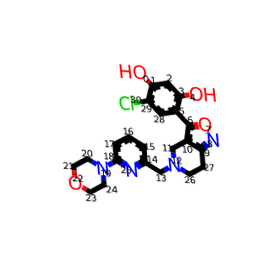 Oc1cc(O)c(-c2onc3c2CN(Cc2cccc(N4CCOCC4)n2)CC3)cc1Cl